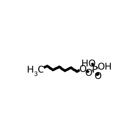 CCCCCCCOOP(=O)(O)O